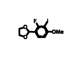 COc1ccc(C2OCCO2)c(F)c1I